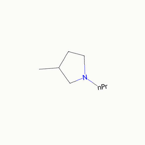 [CH2]CCN1CCC(C)C1